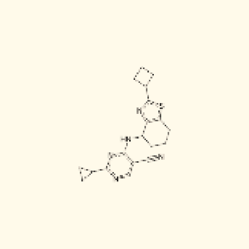 N#Cc1cnc(C2CC2)nc1NC1CCCc2sc(C3CCC3)nc21